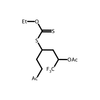 CCOC(=S)SC(CCC(C)=O)CC(OC(C)=O)C(F)(F)F